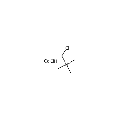 C[N+](C)(C)CCl.Cl.[Cd]